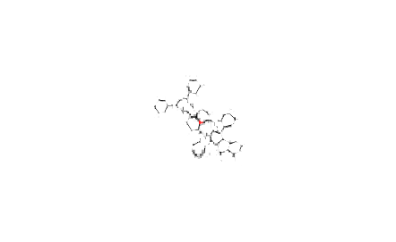 CC1(C)c2ccccc2-c2c1c1c3ccccc3n(-c3ccc(-c4nc(-c5ccccc5)cc(-c5ccccc5)n4)cc3)c1c1c2c2ccccc2n1-c1ccccc1